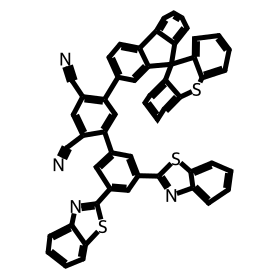 N#Cc1cc(C#N)c(-c2ccc3c(c2)C2(c4ccccc4Sc4ccccc42)c2ccccc2-3)cc1-c1cc(-c2nc3ccccc3s2)cc(-c2nc3ccccc3s2)c1